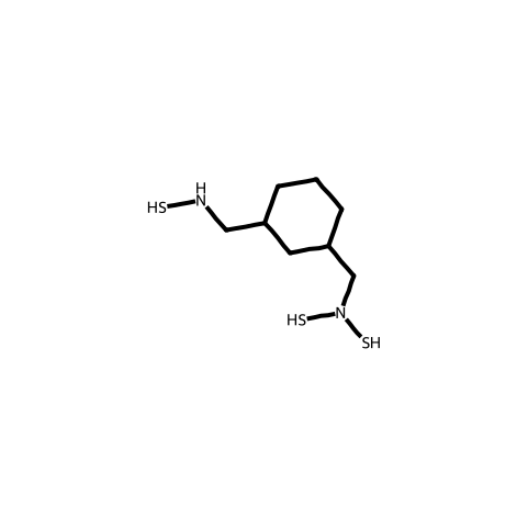 SNCC1CCCC(CN(S)S)C1